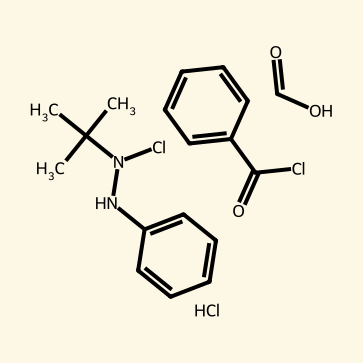 CC(C)(C)N(Cl)Nc1ccccc1.Cl.O=C(Cl)c1ccccc1.O=CO